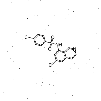 O=S(=O)(Nc1cc(Cl)cc2ccncc12)c1ccc(Cl)cc1